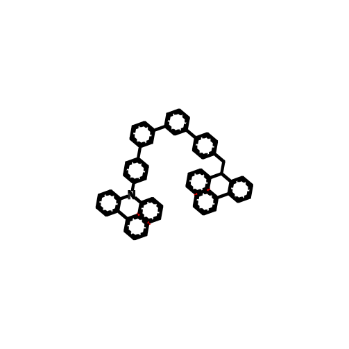 c1ccc(-c2ccccc2C(Cc2ccc(-c3cccc(-c4cccc(-c5ccc(N(c6ccccc6)c6ccccc6-c6ccccc6)cc5)c4)c3)cc2)c2ccccc2)cc1